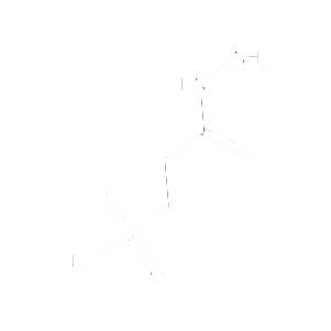 CS(=O)(=O)CCC(=O)NN